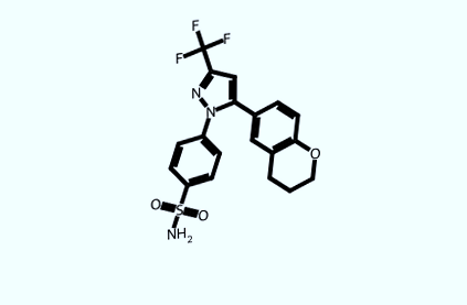 NS(=O)(=O)c1ccc(-n2nc(C(F)(F)F)cc2-c2ccc3c(c2)CCCO3)cc1